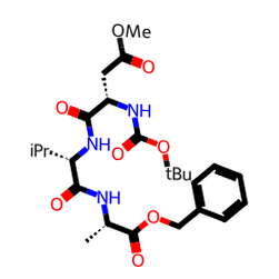 COC(=O)C[C@H](NC(=O)OC(C)(C)C)C(=O)N[C@H](C(=O)N[C@@H](C)C(=O)OCc1ccccc1)C(C)C